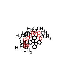 C=C(C)C(=O)Oc1cc(C2(c3cc(OC(=O)C(=C)C)c(OC(=O)C(=C)C)c(OC(=O)C(=C)C)c3)c3ccccc3-c3ccccc32)cc(OC(=O)C(=C)C)c1OC(=O)C(=C)C